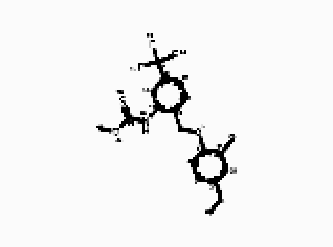 CCc1ccc(OCc2ccc(C(F)(F)F)cc2NC(=S)OC)c(C)c1